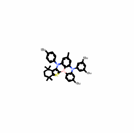 Cc1cc2c3c(c1)N(c1ccc(C(C)(C)C)cc1)c1c(sc4c1C(C)(C)CCC4(C)C)B3c1ccc(C(C)(C)C)cc1N2c1cc(C(C)(C)C)cc(C(C)(C)C)c1